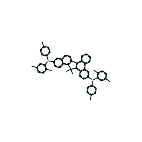 Cc1ccc(N(c2ccc3c4c(ccc3c2)-c2c(c3ccc(N(c5ccc(C)cc5)c5cc(C)ccc5C)cc3c3ccccc23)C4(C)C)c2cc(C)ccc2C)cc1